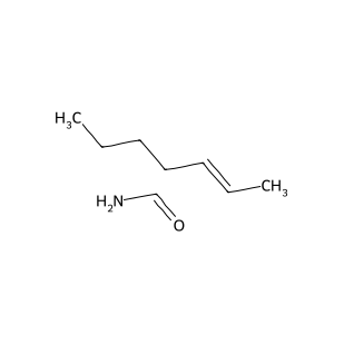 CC=CCCCC.NC=O